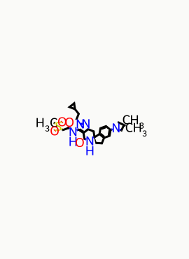 CC1(C)CN(c2ccc3c(c2)CC[C@@]32Cc3nn(CCC4CC4)c(NC(=O)CS(C)(=O)=O)c3C(=O)N2)C1